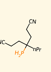 CCCC(P)(CCC#N)CCC#N